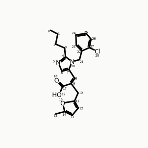 CCCCc1ncc(C=C(Cc2ccc(C)o2)C(=O)O)n1Cc1ccccc1Cl